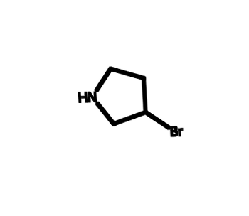 BrC1CCNC1